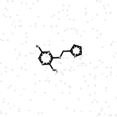 Nc1ncc(Br)nc1OCc1cccs1